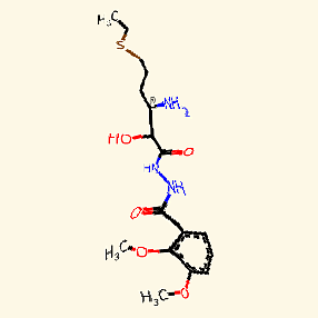 CCSCC[C@@H](N)C(O)C(=O)NNC(=O)c1cccc(OC)c1OC